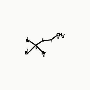 [CH2]C[CH]C(Br)(Br)Br